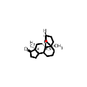 C[C@]12CC[C@@H]3CC1CCC1C4CCC(=O)[C@@]4(C)CC[C@@]12OO3